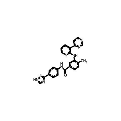 Cc1ccc(C(=O)Nc2ccc(-c3nc[nH]n3)cc2)cc1Nc1ncccc1-c1ccncn1